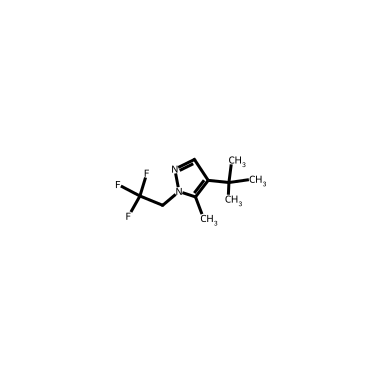 Cc1c(C(C)(C)C)cnn1CC(F)(F)F